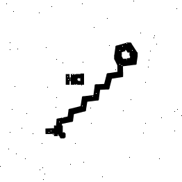 CN(C)CCCCCCCCCCc1ccccc1.Cl